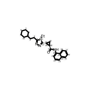 CCn1c(CCC2CCCCC2)nnc1[C@@H]1C[C@H]1C(=O)Nc1cccc2ccccc12